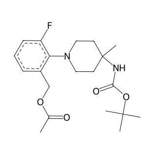 CC(=O)OCc1cccc(F)c1N1CCC(C)(NC(=O)OC(C)(C)C)CC1